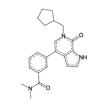 CN(C)C(=O)c1cccc(-c2cn(CC3CCCC3)c(=O)c3[nH]ccc23)c1